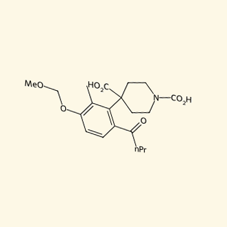 CCCC(=O)c1ccc(OCOC)c(C)c1C1(C(=O)O)CCN(C(=O)O)CC1